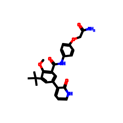 COc1c(C(=O)Nc2ccc(OCC(N)=O)cc2)cc(-c2ccc[nH]c2=O)cc1C(C)(C)C